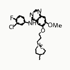 COc1cc2ncnc(Nc3ccc(F)c(Cl)c3)c2cc1OCCCN1CCCC(C)CC1